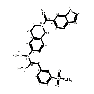 CS(=O)(=O)c1cccc(CC(C(=O)O)N(C=O)c2ccc3c(c2)CCN(C(=O)c2ccc4ccoc4c2)C3)c1